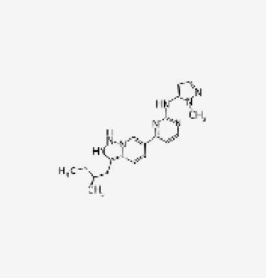 CC[C@H](C)CC1=C2C=CC(c3ccnc(Nc4ccnn4C)n3)=CN2NN1